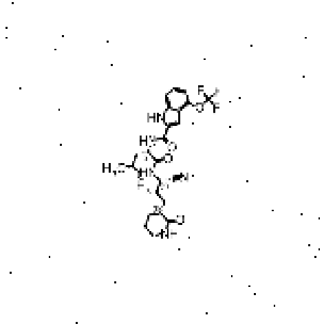 CC(C)C[C@H](NC(=O)c1cc2c(OC(F)(F)F)cccc2[nH]1)C(=O)N[C@H](C#N)CC[C@@H]1CCCNC1=O